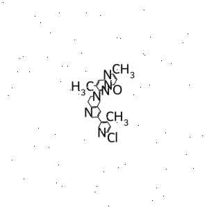 Cc1cc(=O)n2nc(N3CCc4ncc(-c5cnc(Cl)cc5C)cc4C3)c(C)cc2n1